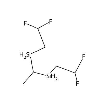 CC([SiH2]CC(F)F)[SiH2]CC(F)F